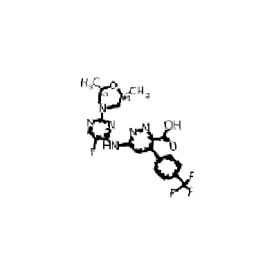 C[C@@H]1CN(c2ncc(F)c(Nc3cc(-c4ccc(C(F)(F)F)cc4)c(C(=O)O)nn3)n2)C[C@H](C)O1